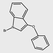 Brn1cc(Oc2ccccc2)c2ccccc21